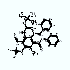 Cc1c(OC(F)(F)F)c(C=O)c(NC(=O)OC(C)(C)C)c(OCc2ccccc2)c1C(=O)Oc1ccccc1